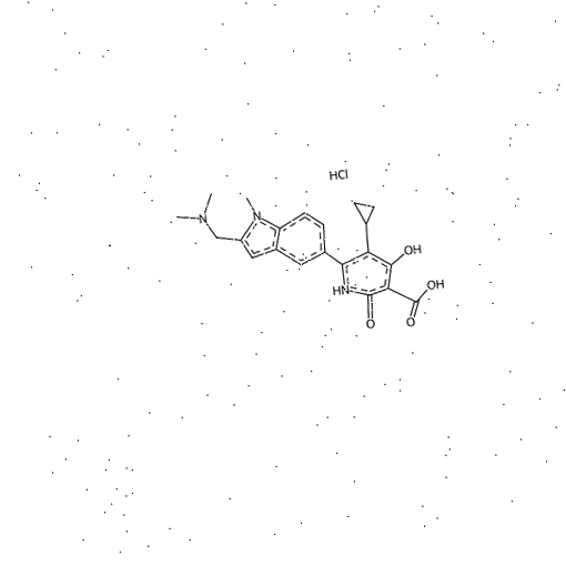 CN(C)Cc1cc2cc(-c3[nH]c(=O)c(C(=O)O)c(O)c3C3CC3)ccc2n1C.Cl